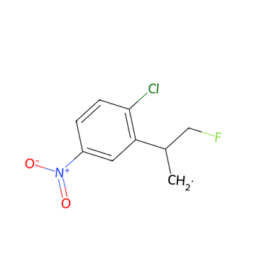 [CH2]C(CF)c1cc([N+](=O)[O-])ccc1Cl